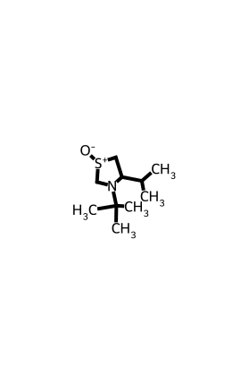 CC(C)C1C[S+]([O-])CN1C(C)(C)C